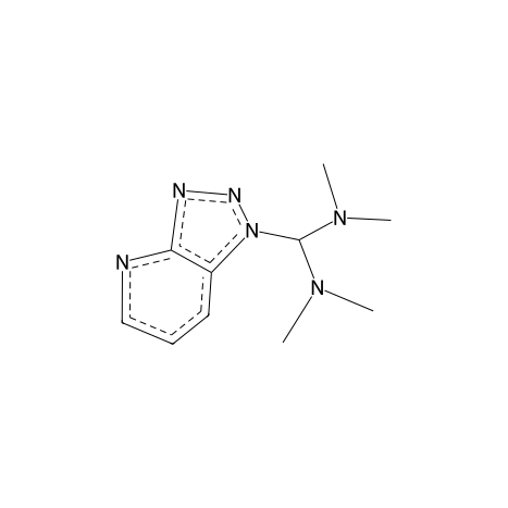 CN(C)C(N(C)C)n1nnc2ncccc21